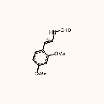 COc1ccc(/C=C/NC=O)c(OC)c1